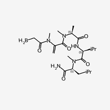 BCC(=O)N(C)C(=C)C(=O)N(C)[C@@H](C)C(=O)N[C@H](C(=O)N(C)[C@@H](CC(C)C)C(N)=O)C(C)C